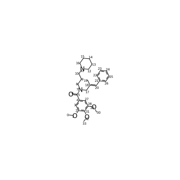 COc1cc(C(=O)N(CCCN2CCCCC2)CC(C)=Cc2ccccc2)cc(OC)c1OC